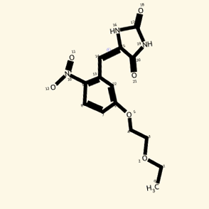 CCOCCOc1ccc([N+](=O)[O-])c(/C=C2/NC(=O)NC2=O)c1